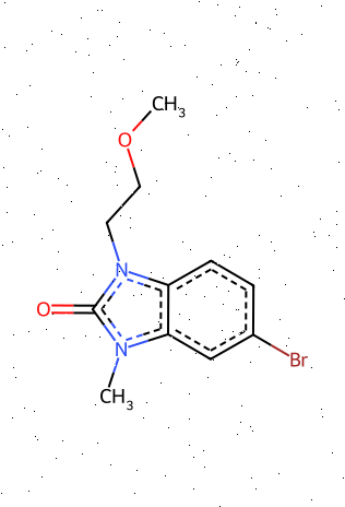 COCCn1c(=O)n(C)c2cc(Br)ccc21